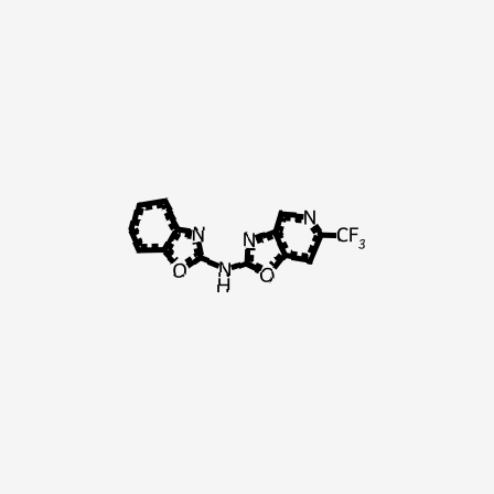 FC(F)(F)c1cc2oc(Nc3nc4ccccc4o3)nc2cn1